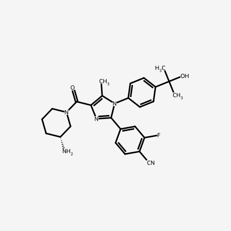 Cc1c(C(=O)N2CCC[C@@H](N)C2)nc(-c2ccc(C#N)c(F)c2)n1-c1ccc(C(C)(C)O)cc1